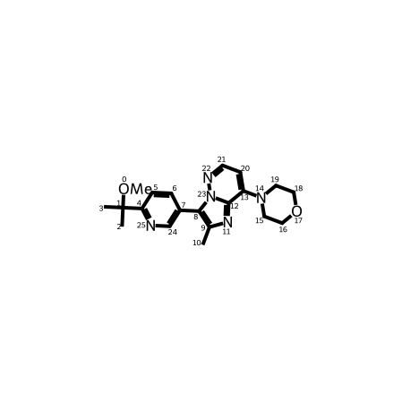 COC(C)(C)c1ccc(-c2c(C)nc3c(N4CCOCC4)ccnn23)cn1